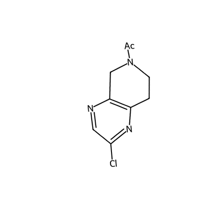 CC(=O)N1CCc2nc(Cl)cnc2C1